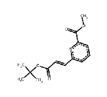 COC(=O)c1cccc(/C=C/C(=O)OC(C)(C)C)n1